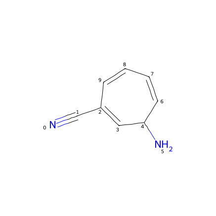 N#CC1=CC(N)C=CC=C1